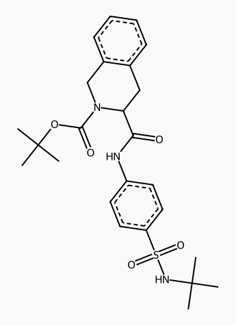 CC(C)(C)NS(=O)(=O)c1ccc(NC(=O)C2Cc3ccccc3CN2C(=O)OC(C)(C)C)cc1